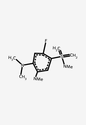 C=S(=C)(NC)c1cc(NC)c(N(C)C)cc1F